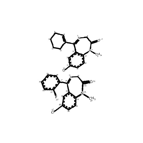 CN1C(=O)CN=C(C2=CCCCC2)c2cc(Cl)ccc21.CN1C(=O)CN=C(c2ccccc2F)c2cc(Cl)ccc21